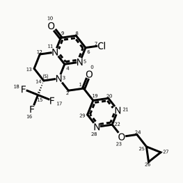 O=C(CN1c2nc(Cl)cc(=O)n2CC[C@H]1C(F)(F)F)c1cnc(OCC2CC2)nc1